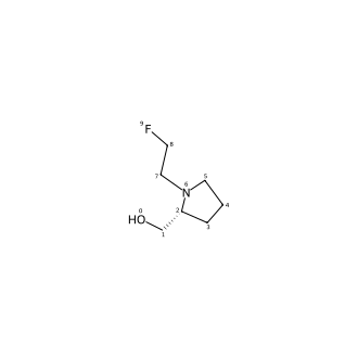 OC[C@H]1CCCN1CCF